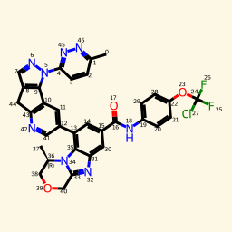 Cc1ccc(-n2ncc3c2-c2cc(-c4cc(C(=O)Nc5ccc(OC(F)(F)Cl)cc5)cc5nc6n(c45)[C@H](C)COC6)cnc2C3)nn1